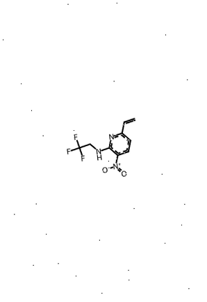 C=Cc1ccc([N+](=O)[O-])c(NCC(F)(F)F)n1